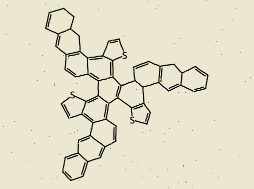 C1=CC2=CC3=C(C=CC4c5c(c6c7ccc8cc9ccccc9cc8c7c7ccsc7c6c6c7ccc8c(c7c7ccsc7c56)CC5CCC=CC5=C8)-c5sccc5C34)CC2C=C1